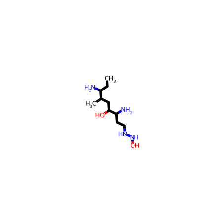 CCC(N)C(C)CC(O)C(N)CCNNO